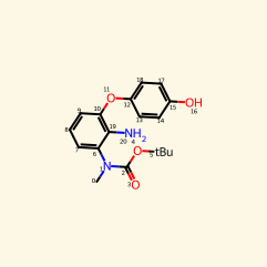 CN(C(=O)OC(C)(C)C)c1cccc(Oc2ccc(O)cc2)c1N